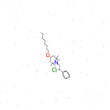 CCCCCCCCOC1CC(C)(C)N(CC(Cl)c2ccccc2)C(C)(C)C1